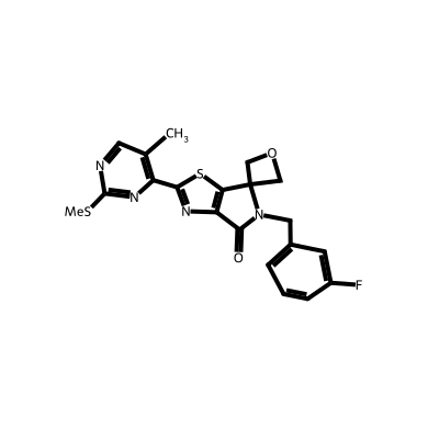 CSc1ncc(C)c(-c2nc3c(s2)C2(COC2)N(Cc2cccc(F)c2)C3=O)n1